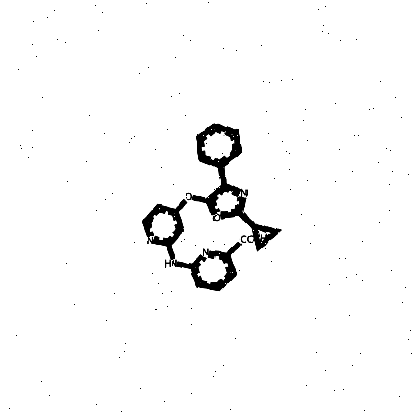 O=C(O)c1cccc(Nc2cc(Oc3oc(C4CC4)nc3-c3ccccc3)ccn2)n1